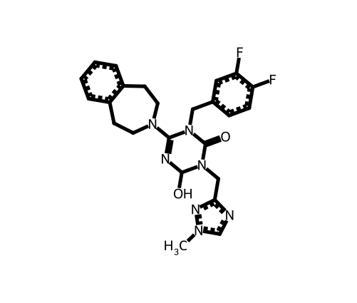 Cn1cnc(CN2C(=O)N(Cc3ccc(F)c(F)c3)C(N3CCc4ccccc4CC3)=NC2O)n1